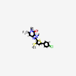 CCSc1cc(-c2ccc(Cl)cc2)sc1-c1nc2cc(C(F)(F)F)n(CC)c(=O)c2n1C